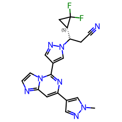 Cn1cc(-c2cc3nccn3c(-c3cnn(C(CC#N)[C@@H]4CC4(F)F)c3)n2)cn1